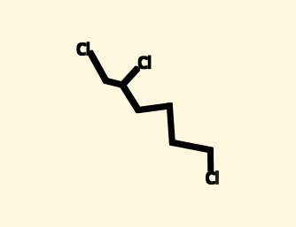 ClCCCCC(Cl)CCl